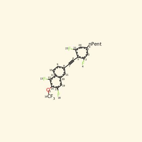 CCCCCc1cc(F)c(C#Cc2ccc3c(F)c(OC(F)(F)F)c(F)cc3c2)c(F)c1